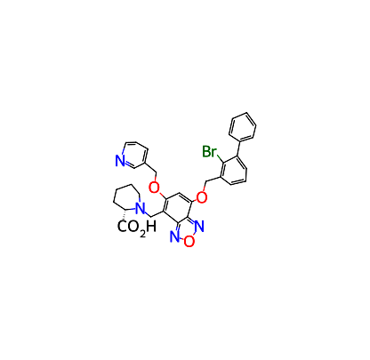 O=C(O)[C@@H]1CCCCN1Cc1c(OCc2cccnc2)cc(OCc2cccc(-c3ccccc3)c2Br)c2nonc12